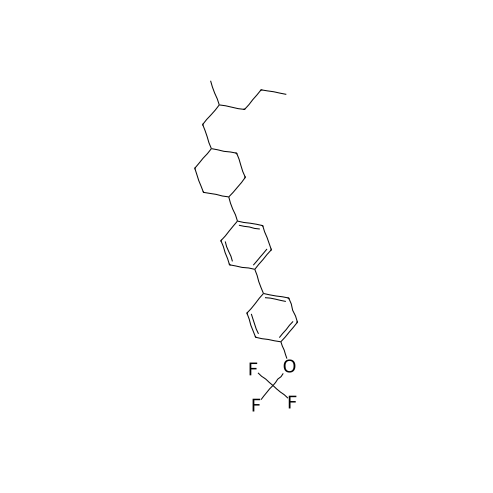 CCCC(C)CC1CCC(c2ccc(-c3ccc(OC(F)(F)F)cc3)cc2)CC1